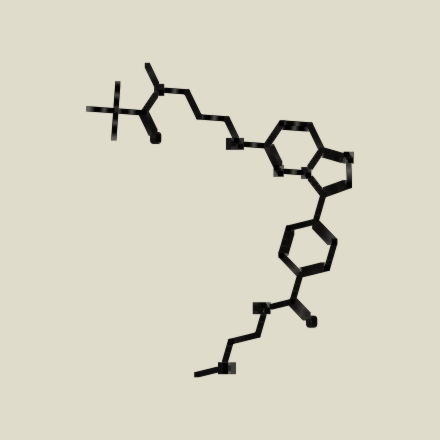 CNCCNC(=O)c1ccc(-c2cnc3ccc(NCCCN(C)C(=O)C(C)(C)C)nn23)cc1